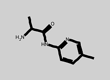 Cc1ccc(NC(=O)C(C)N)nc1